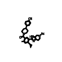 CC(=O)N1CCc2nc(-c3cc(C(=O)N4CCC(c5ccc(C#N)cc5)CC4)c(C)cc3C3CC3)[nH]c2C1